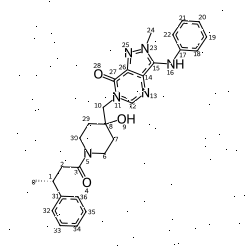 C[C@H](CC(=O)N1CCC(O)(Cn2cnc3c(Nc4ccccc4)n(C)nc3c2=O)CC1)c1ccccc1